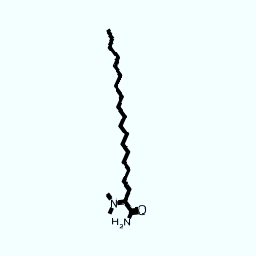 CCCCCCCCCCCCCCCCCCC(C(N)=O)N(C)C